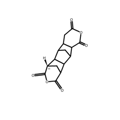 O=C1CC2C3CC(C2C(=O)O1)C1C2C[C@H](C(=O)OC2=O)C31